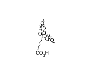 C=CON1CCC(OC(=O)C(CCCCCCCC(=O)O)C2CCN(OC=C)C(C)(C)C2(C)C)C(C)(C)C1(C)C